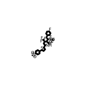 CS(=O)(=O)NC(Cc1ccc(F)cc1F)c1c(C(F)(F)F)cc(-c2ccc(-c3ccc(S(C)(=O)=O)cc3)s2)[nH]c1=O